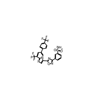 NS(=O)(=O)c1cccc(-c2noc(-c3cnc4c(C(F)(F)F)cc(-c5ccc(C(F)(F)F)cc5)cn34)n2)c1